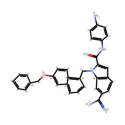 N=C(N)c1ccc2cc(C(=O)Nc3ccc(N)cc3)n(Cc3cccc4cc(OCc5ccccc5)ccc34)c2c1